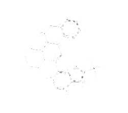 FC(F)(F)c1cc2c(/N=C/C3c4ccccc4CC[C@@H]3N3CCOCC3)ncnc2[nH]1